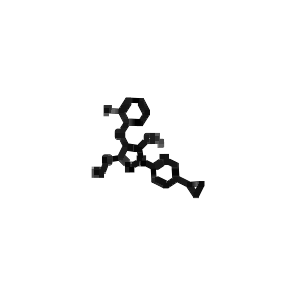 Cc1c(Oc2ccccc2F)c(OC(C)C)nn1-c1ccc(C2CC2)cn1